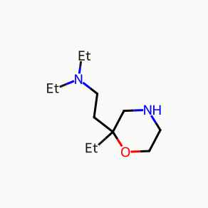 CCN(CC)CCC1(CC)CNCCO1